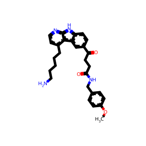 COc1ccc(CNC(=O)CCC(=O)c2ccc3[nH]c4nccc(CCCCCN)c4c3c2)cc1